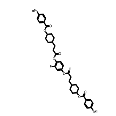 CCCc1ccc(C(=O)OC2CCC(CCC(=O)Oc3ccc(OC(=O)CCC4CCC(OC(=O)c5ccc(CCC)cc5)CC4)c(F)c3)CC2)cc1